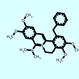 COc1cc2c(cc1OC)C(N(C)C)=S1CCc3c(OC)c(OC)cc(Cc4ccccc4)c3C1=C2